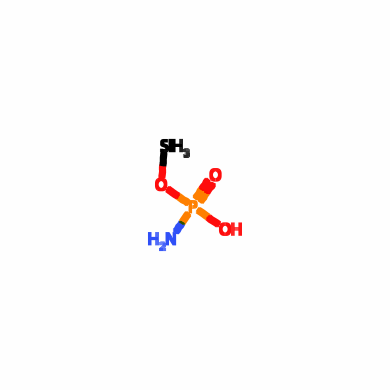 NP(=O)(O)O[SiH3]